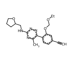 C#Cc1ccc(-c2nnc(NCC3CCCO3)nc2C)c(OCOCC)c1